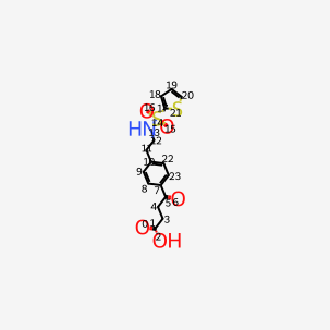 O=C(O)CCC(=O)c1ccc(CCNS(=O)(=O)c2cccs2)cc1